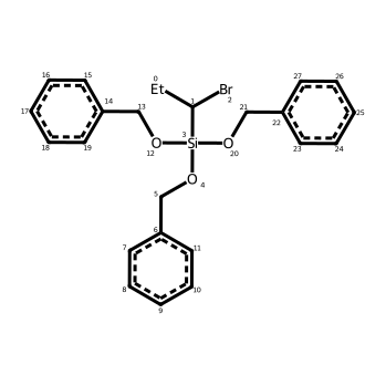 CCC(Br)[Si](OCc1ccccc1)(OCc1ccccc1)OCc1ccccc1